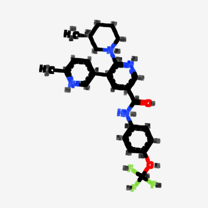 Cc1ccc(-c2cc(C(=O)Nc3ccc(OC(F)(F)F)cc3)cnc2N2CCC[C@@H](C)C2)cn1